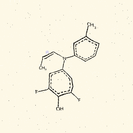 C/C=C\N(c1cccc(C)c1)c1cc(F)c(O)c(F)c1